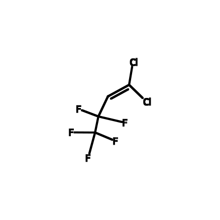 FC(F)(F)C(F)(F)C=C(Cl)Cl